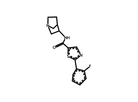 O=C(NC1CN2CCC1C2)c1cnc(-c2ccccc2F)s1